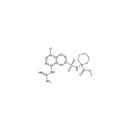 COC(=O)C1(NS(=O)(=O)c2ccc3c(Cl)cnc(NC(=N)N)c3c2)CCCCC1